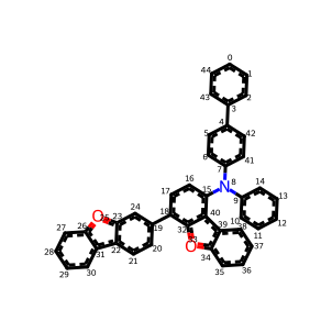 c1ccc(-c2ccc(N(c3ccccc3)c3ccc(-c4ccc5c(c4)oc4ccccc45)c4oc5ccccc5c34)cc2)cc1